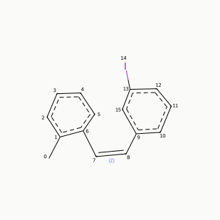 Cc1ccccc1/C=C\c1cccc(I)c1